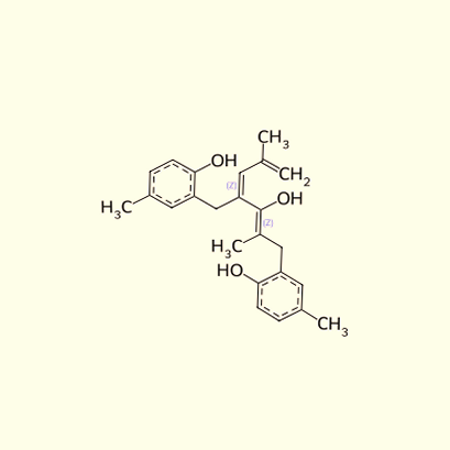 C=C(C)/C=C(Cc1cc(C)ccc1O)\C(O)=C(/C)Cc1cc(C)ccc1O